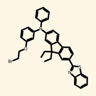 CCC1(CC)c2cc(-c3nc4ccccc4s3)ccc2-c2ccc(N(c3ccccc3)c3cccc(OCCBr)c3)cc21